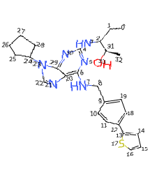 CCC(Nc1nc(NCc2ccc(-c3cccs3)cc2)c2ncn(C3CCCC3)c2n1)[C@@H](C)O